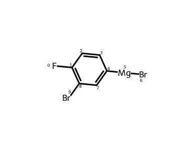 Fc1cc[c]([Mg][Br])cc1Br